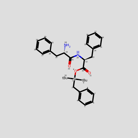 CC(C)(C)[Si](Cc1ccccc1)(OC(=O)[C@H](Cc1ccccc1)NC(=O)[C@@H](N)Cc1ccccc1)C(C)(C)C